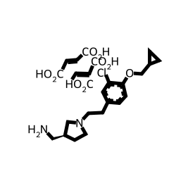 NC[C@@H]1CCN(CCc2ccc(OCC3CC3)c(Cl)c2)C1.O=C(O)/C=C/C(=O)O.O=C(O)/C=C/C(=O)O